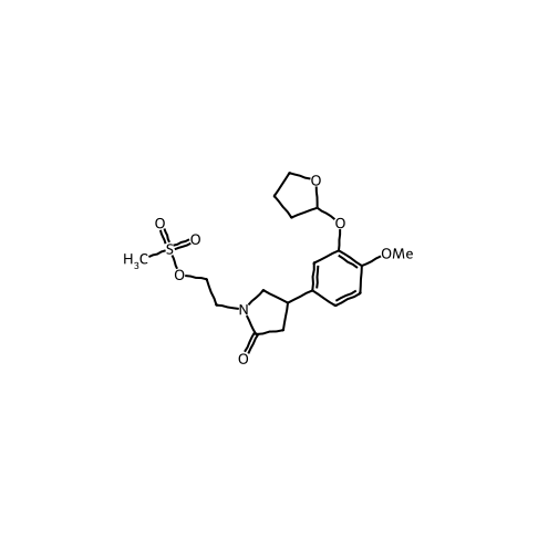 COc1ccc(C2CC(=O)N(CCOS(C)(=O)=O)C2)cc1OC1CCCO1